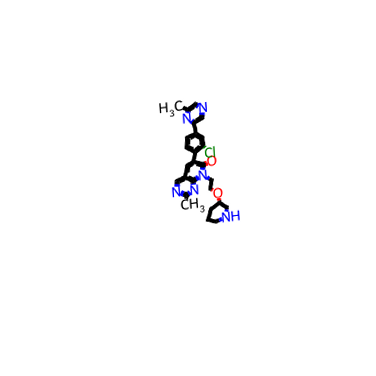 Cc1cncc(-c2ccc(-c3cc4cnc(C)nc4n(CCOC4CCCNC4)c3=O)c(Cl)c2)n1